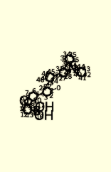 Cc1ccc(-c2ccc3oc4cccc(B(O)O)c4c3c2)cc1-c1cc(-c2ccc3c(c2)c2ccccc2n3-c2ccccc2)ccc1C